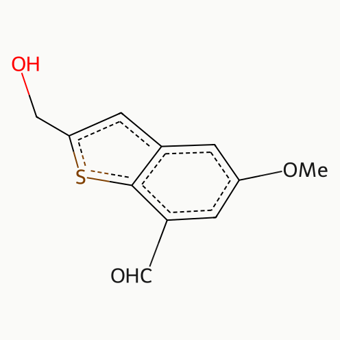 COc1cc(C=O)c2sc(CO)cc2c1